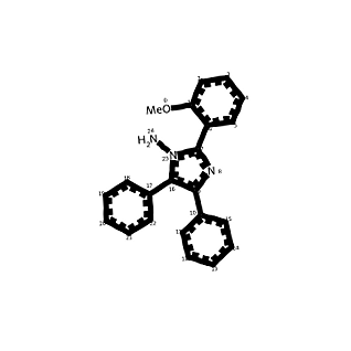 COc1ccccc1-c1nc(-c2ccccc2)c(-c2ccccc2)n1N